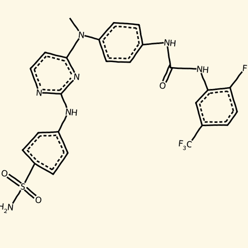 CN(c1ccc(NC(=O)Nc2cc(C(F)(F)F)ccc2F)cc1)c1ccnc(Nc2ccc(S(N)(=O)=O)cc2)n1